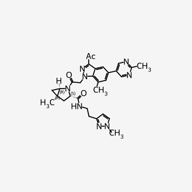 CC(=O)c1nn(CC(=O)N2[C@H](C(=O)NCCc3ccn(C)n3)C[C@@]3(C)C[C@@H]23)c2c(C)cc(-c3cnc(C)nc3)cc12